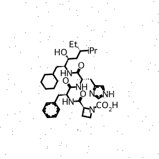 CC[C@@H](C[C@H](O)[C@H](CC1CCCCC1)NC(=O)[C@H](Cc1c[nH]cn1)NC(=O)[C@H](Cc1ccccc1)NC(=O)[C@@H]1CCN1C(=O)O)C(C)C